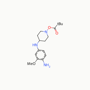 COc1cc(NC2CCN(OC(=O)C(C)(C)C)CC2)ccc1N